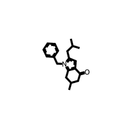 CC(C)Cc1cc2c(n1Cc1ccccc1)CC(C)CC2=O